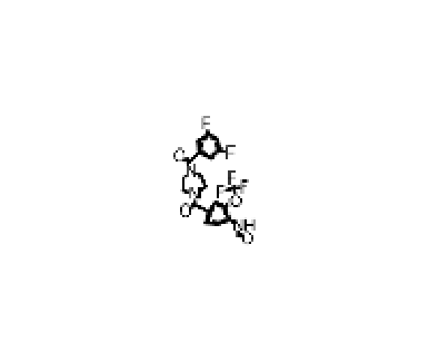 O=CNc1ccc(C(=O)N2CCN(C(=O)c3cc(F)cc(F)c3)CC2)cc1OC(F)(F)F